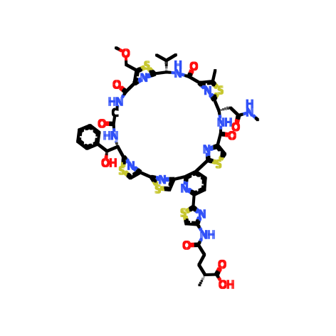 CNC(=O)C[C@@H]1NC(=O)c2csc(n2)-c2ccc(-c3nc(NC(=O)CC[C@@H](C)C(=O)O)cs3)nc2-c2csc(n2)-c2csc(n2)[C@H]([C@@H](O)c2ccccc2)NC(=O)CNC(=O)c2nc(sc2COC)[C@H](C(C)C)NC(=O)c2nc1sc2C